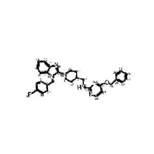 Fc1ccc(Cn2c(N3CCC(CNc4nccc(OCc5ccccc5)n4)CC3)nc3ccccc32)cc1